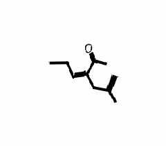 C=C(C)C/C(=C/CC)C(C)=O